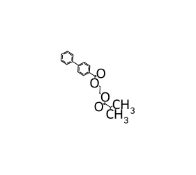 CC(C)C(=O)OCCOC(=O)c1ccc(-c2ccccc2)cc1